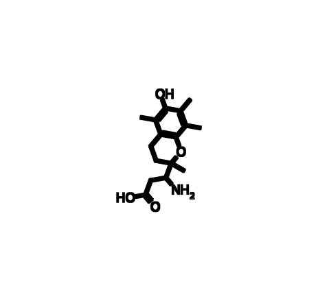 Cc1c(C)c2c(c(C)c1O)CCC(C)(C(N)CC(=O)O)O2